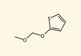 COCOc1cccs1